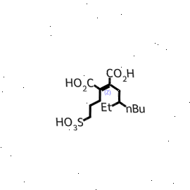 CCCCC(CC)C/C(C(=O)O)=C(\CCCS(=O)(=O)O)C(=O)O